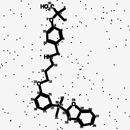 CC(C)(Oc1ccc(CNCCCOc2cccc([N+](C)(C)c3nc4ccccc4o3)c2)cc1)C(=O)O